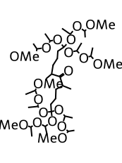 COC(C)OC(C)OC(CCCC(C)C(=O)C(C)CCCC(OC(C)OC(C)OC)(OC(C)OC(C)OC)OC(C)OC(C)OC)(OC(C)OC(C)OC)OC(C)OC(C)OC